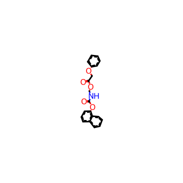 O=C(COc1ccccc1)OCNC(=O)Oc1cccc2ccccc12